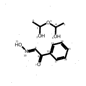 CC(O)OC(C)O.O=C(C=NO)c1ccccc1